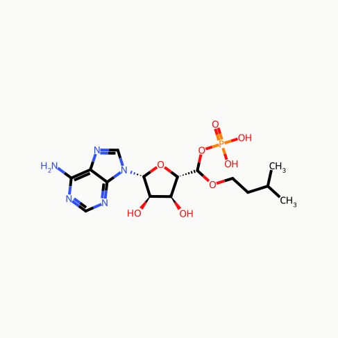 CC(C)CCOC(OP(=O)(O)O)[C@H]1O[C@@H](n2cnc3c(N)ncnc32)[C@H](O)[C@@H]1O